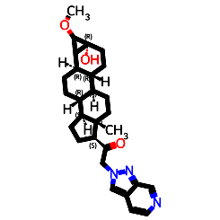 COC1C2[C@@H]3CC[C@@H]4[C@H](CC[C@]5(C)[C@@H](C(=O)Cn6cc7ccncc7n6)CC[C@@H]45)[C@H]3CC[C@]12O